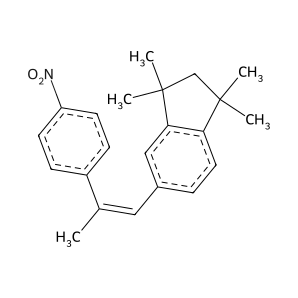 CC(=Cc1ccc2c(c1)C(C)(C)CC2(C)C)c1ccc([N+](=O)[O-])cc1